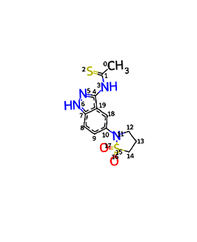 CC(=S)Nc1n[nH]c2ccc(N3CCCS3(=O)=O)cc12